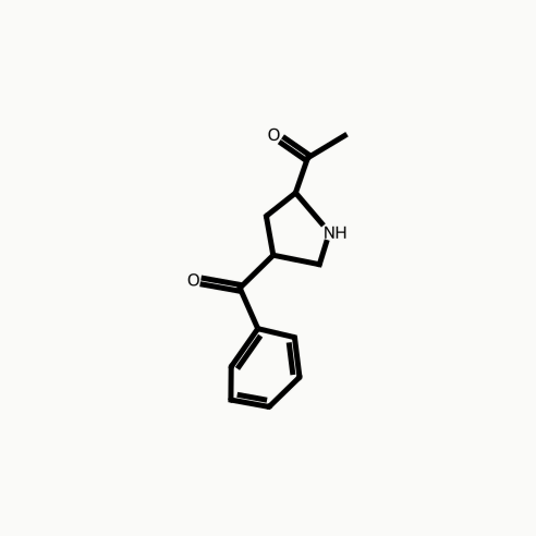 CC(=O)C1CC(C(=O)c2ccccc2)CN1